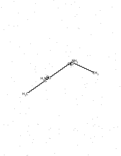 CCCCCCCCCCCCCCCCCCSC(N)=CC(=O)OCCCCCCCCCCCCCCCCCCOC(=O)C=C(N)SCCCCCCCCCCCCCCCCCC